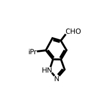 CC(C)c1cc(C=O)cc2cn[nH]c12